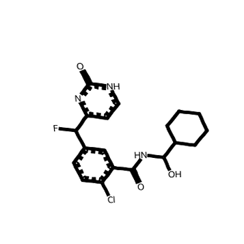 O=C(NC(O)C1CCCCC1)c1cc(C(F)c2cc[nH]c(=O)n2)ccc1Cl